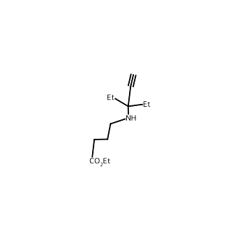 C#CC(CC)(CC)NCCCC(=O)OCC